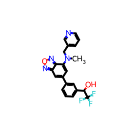 CN(Cc1cccnc1)c1cc(-c2cccc(C(O)C(F)(F)F)c2)cc2nonc12